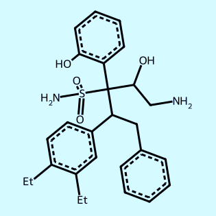 CCc1ccc(C(Cc2ccccc2)C(c2ccccc2O)(C(O)CN)S(N)(=O)=O)cc1CC